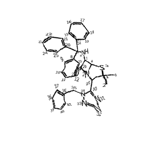 CC1(C)SC2C(NC(c3ccccc3)(c3ccccc3)c3ccccc3)C(=O)N2C1c1nnnn1Cc1ccccc1